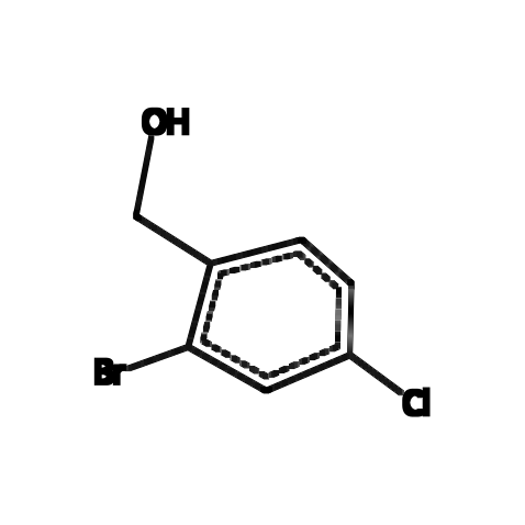 OCc1ccc(Cl)cc1Br